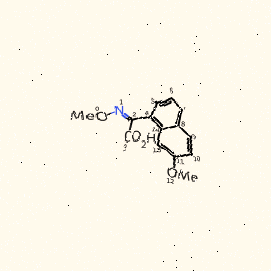 CO/N=C(\C(=O)O)c1cccc2ccc(OC)cc12